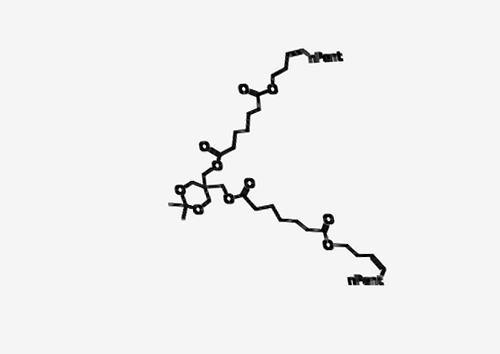 CCCCC/C=C\CCOC(=O)CCCCCC(=O)OCC1(COC(=O)CCCCCC(=O)OCC/C=C\CCCCC)COC(C)(C)OC1